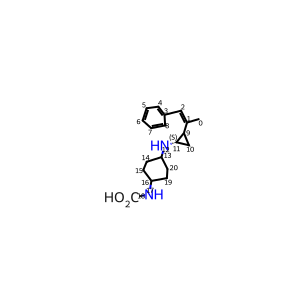 CC(=Cc1ccccc1)C1C[C@@H]1NC1CCC(NC(=O)O)CC1